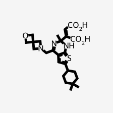 CC1(C)CCC(c2cc3c(s2)NC(C)(C(=CC(=O)O)C(=O)O)N=C3CN2CC3(COC3)C2)CC1